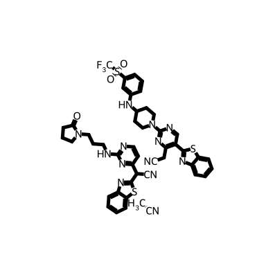 CC#N.N#CC(c1ccnc(NCCCN2CCCC2=O)n1)c1nc2ccccc2s1.N#CCc1nc(N2CCC(Nc3cccc(S(=O)(=O)C(F)(F)F)c3)CC2)ncc1-c1nc2ccccc2s1